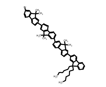 CCCCCCC1(CCCCCC)c2ccccc2-c2ccc(-c3ccc4c(c3)C(C)(C)c3cc(-c5ccc6c(c5)C(C)(C)c5cc(-c7ccc8c(c7)C(C)(C)c7cc(Br)ccc7-8)ccc5-6)ccc3-4)cc21